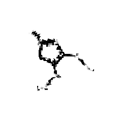 CCCCOc1nn(C)cc1NC=O